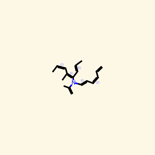 C=C/C=C\C=C\N(C(=C)C)C(/C=C/C)=C(C)/C=C\C